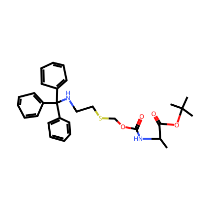 CC(NC(=O)OCSCCNC(c1ccccc1)(c1ccccc1)c1ccccc1)C(=O)OC(C)(C)C